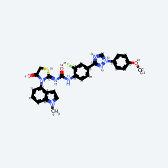 Cn1ccc2c(N3C(=O)CS/C3=N\C(=O)Nc3ccc(-c4ncn(-c5ccc(OC(F)(F)F)cc5)n4)cc3F)cccc21